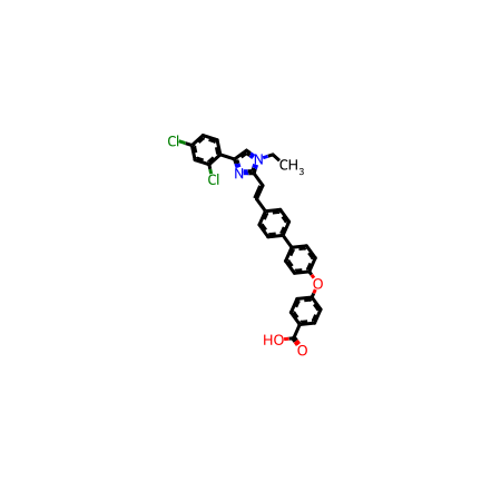 CCn1cc(-c2ccc(Cl)cc2Cl)nc1C=Cc1ccc(-c2ccc(Oc3ccc(C(=O)O)cc3)cc2)cc1